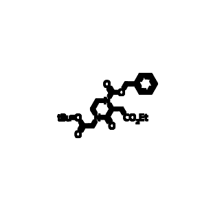 CCOC(=O)CC1C(=O)N(CC(=O)OC(C)(C)C)CCN1C(=O)OCc1ccccc1